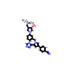 CN(C)CC1CN(c2ccc3c(c2)Cn2cc(-c4ccc(C#N)cc4)cc2-c2nncn2-3)C[C@H]1O